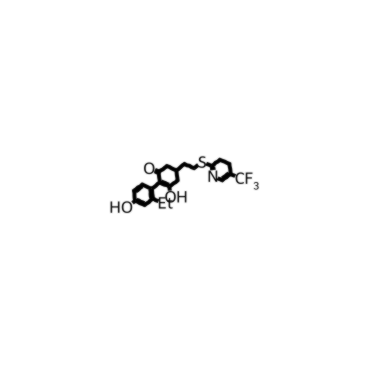 CCc1cc(O)ccc1C1=C(O)CC(CCSC2=NC=C(C(F)(F)F)CC2)CC1=O